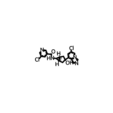 O=C(NC1[C@H]2CC(O)(c3cc(Cl)cn4cncc34)C[C@@H]12)c1cncc(Cl)c1